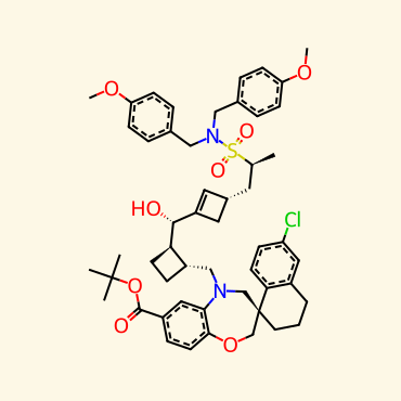 COc1ccc(CN(Cc2ccc(OC)cc2)S(=O)(=O)[C@@H](C)C[C@H]2C=C([C@@H](O)[C@@H]3CC[C@H]3CN3C[C@@]4(CCCc5cc(Cl)ccc54)COc4ccc(C(=O)OC(C)(C)C)cc43)C2)cc1